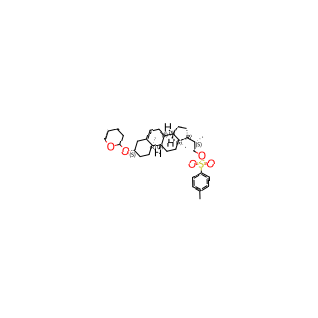 Cc1ccc(S(=O)(=O)OC[C@@H](C)[C@H]2CC[C@H]3[C@@H]4CC=C5C[C@@H](OC6CCCCO6)CC[C@]5(C)[C@H]4CC[C@]23C)cc1